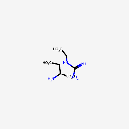 N=C(N)NCC(=O)O.N[C@@H](CC(=O)O)C(=O)O